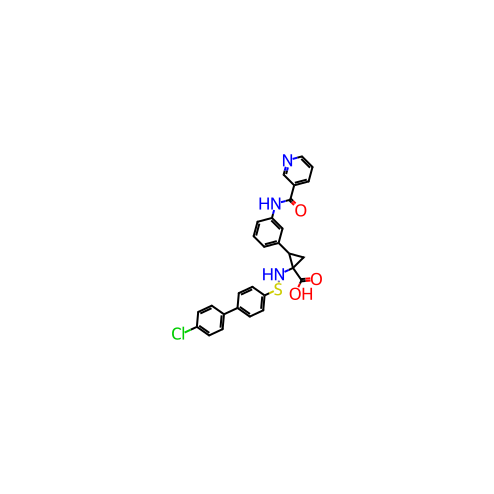 O=C(Nc1cccc(C2CC2(NSc2ccc(-c3ccc(Cl)cc3)cc2)C(=O)O)c1)c1cccnc1